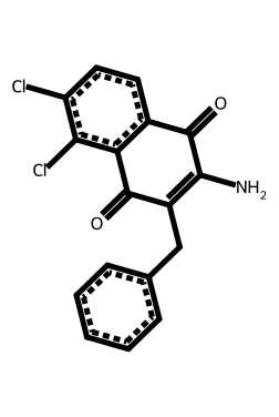 NC1=C(Cc2ccccc2)C(=O)c2c(ccc(Cl)c2Cl)C1=O